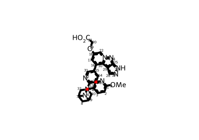 COc1ccc(CN2C3CC2CN(c2ccc(-c4cc(OCC(=O)O)cn5nc6[nH]ncc6c45)cn2)C3)cn1